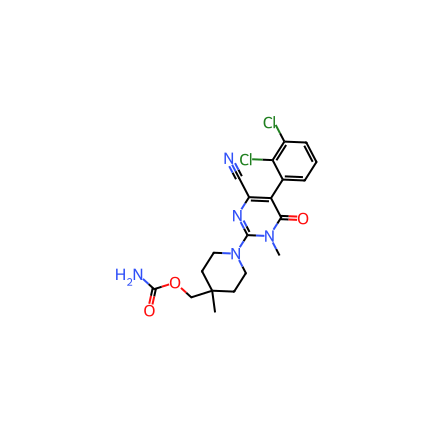 Cn1c(N2CCC(C)(COC(N)=O)CC2)nc(C#N)c(-c2cccc(Cl)c2Cl)c1=O